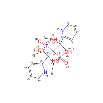 CCC(CC)(c1ccccn1)C(C(CC)(CC)c1ccccn1)(P(=O)(O)O)P(=O)(O)O